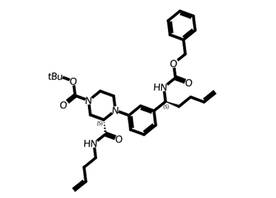 C=CCCNC(=O)[C@@H]1CN(C(=O)OC(C)(C)C)CCN1c1cccc([C@H](CCC=C)NC(=O)OCc2ccccc2)c1